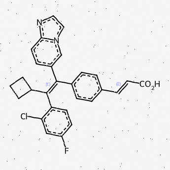 O=C(O)/C=C/c1ccc(/C(=C(\c2ccc(F)cc2Cl)C2CCC2)c2ccc3nccn3c2)cc1